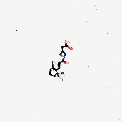 CC1=C(/C=C/C(=O)N2CC(CC(=O)O)C2)C(C)(C)CCC1